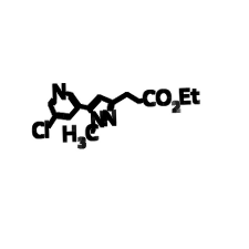 CCOC(=O)CCc1cc(-c2cncc(Cl)c2)n(C)n1